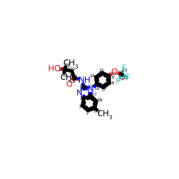 Cc1ccc2nc(NC(=O)CC(C)(C)O)n(-c3ccc(OC(F)(F)F)cc3)c2c1